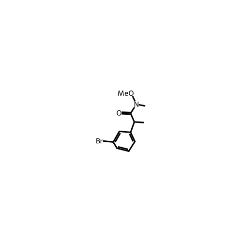 CON(C)C(=O)C(C)c1cccc(Br)c1